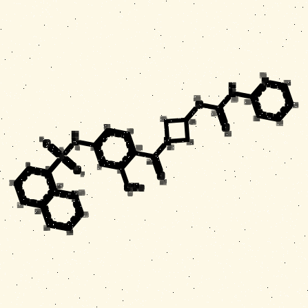 COc1cc(NS(=O)(=O)c2cccc3cccnc23)ccc1C(=O)N1CC(OC(=O)Nc2ccccn2)C1